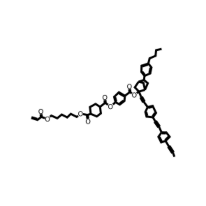 C=CC(=O)OCCCCCCOC(=O)C1CCC(C(=O)Oc2ccc(C(=O)OC3(C#Cc4ccc(C#Cc5ccc(C#CC)cc5)cc4)CC4CC3CC4c3ccc(CCCC)cc3)cc2)CC1